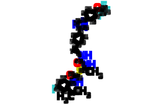 CC(NC(=O)NC1CC1c1ccc(-c2ncn(-c3ccc(OC(F)(F)F)cc3)n2)cc1)SCC(=O)Nc1ccc(F)cc1C(C)C